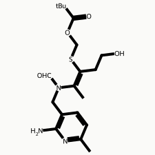 C/C(=C(\CCO)SCOC(=O)C(C)(C)C)N(C=O)Cc1ccc(C)nc1N